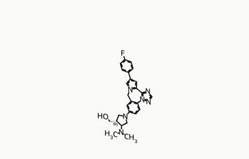 CN(C)C1CN(c2ccc3c(c2)Cn2cc(-c4ccc(F)cc4)cc2-c2ncnn2-3)C[C@H]1CO